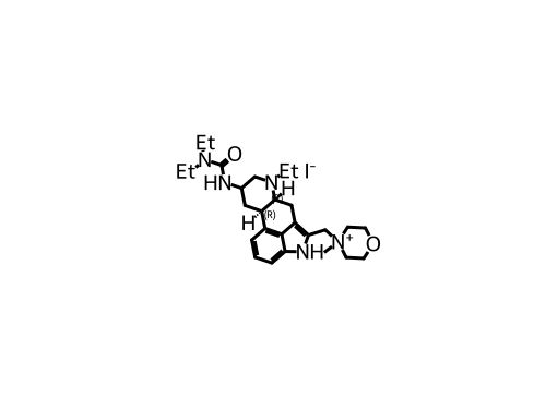 CCN(CC)C(=O)NC1C[C@@H]2c3cccc4[nH]c(C[N+]5(C)CCOCC5)c(c34)C[C@H]2N(CC)C1.[I-]